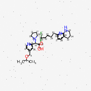 CC(C)OCc1ccnc(C(C(=O)O)N2CCC[C@@H]2C(F)(F)CCCCc2ccc3c(n2)NCCC3)c1